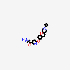 CC(C)(N)C(=O)c1ccc(Oc2ccc3c(c2)CCC2(CCN(C4CCC4)CC2)O3)nc1